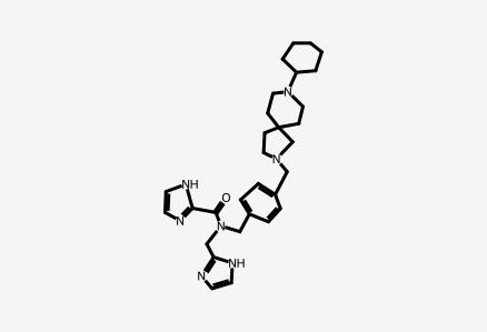 O=C(c1ncc[nH]1)N(Cc1ccc(CN2CCC3(CCN(C4CCCCC4)CC3)C2)cc1)Cc1ncc[nH]1